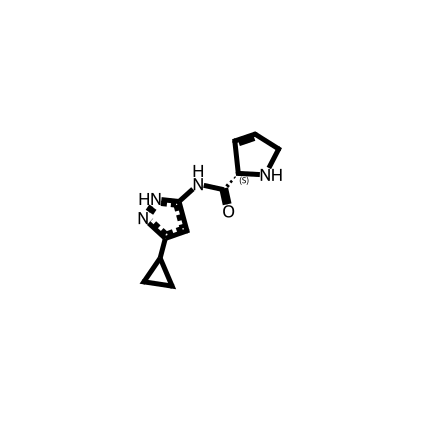 O=C(Nc1cc(C2CC2)n[nH]1)[C@@H]1C=CCN1